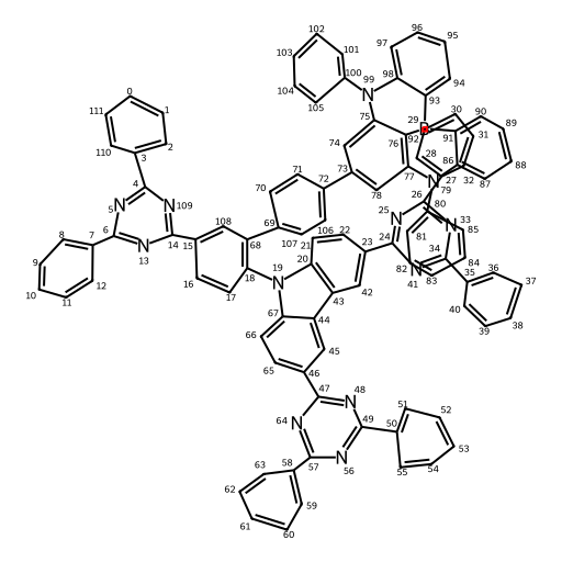 c1ccc(-c2nc(-c3ccccc3)nc(-c3ccc(-n4c5ccc(-c6nc(-c7ccccc7)nc(-c7ccccc7)n6)cc5c5cc(-c6nc(-c7ccccc7)nc(-c7ccccc7)n6)ccc54)c(-c4ccc(-c5cc6c7c(c5)N(c5ccccc5)c5ccccc5B7c5ccccc5N6c5ccccc5)cc4)c3)n2)cc1